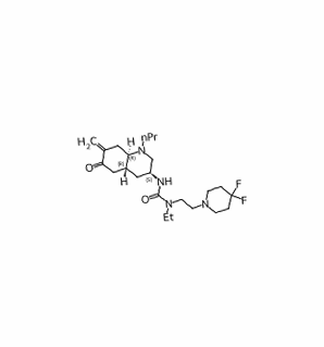 C=C1C[C@@H]2[C@@H](CC1=O)C[C@H](NC(=O)N(CC)CCN1CCC(F)(F)CC1)CN2CCC